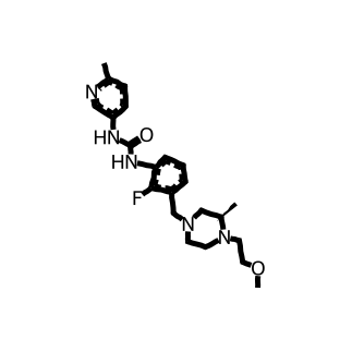 COCCN1CCN(Cc2cccc(NC(=O)Nc3ccc(C)nc3)c2F)C[C@H]1C